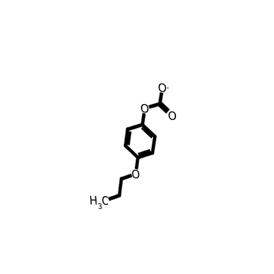 CCCOc1ccc(OC([O])=O)cc1